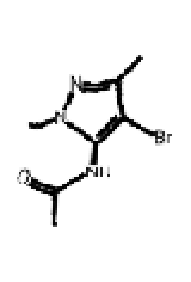 CC(=O)Nc1c(Br)c(C)nn1C